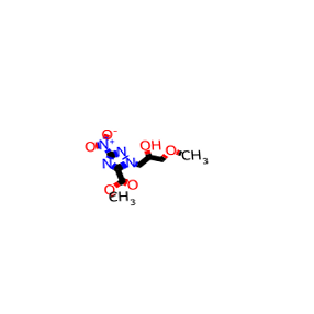 COCC(O)Cn1nc([N+](=O)[O-])nc1C(=O)OC